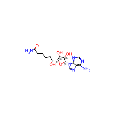 NC(=O)CCCCC(O)[C@H]1O[C@@H](n2cnc3c(N)ncnc32)[C@H](O)[C@@H]1O